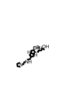 CCCC[C@](C)(O)C/C=C/[C@@H]1[C@H]2CC(CCNCCN3CCCC3)=C[C@H]2C[C@H]1O